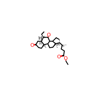 CCOC(=O)CC[C@@H](C)[C@H]1CCC2C3C(=O)[C@H](CC)[C@@H]4CC(=O)CC[C@]4(C)C3CC[C@@]21C